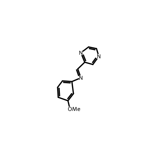 COc1cccc(/N=C/c2cnccn2)c1